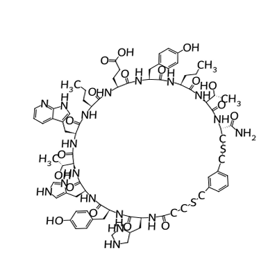 CCC[C@@H]1NC(=O)[C@H](Cc2c[nH]c3ncccc23)NC(=O)[C@H]([C@@H](C)O)NC(=O)[C@H](Cc2c[nH]cn2)NC(=O)[C@H](Cc2ccc(O)cc2)NC(=O)[C@H](CC2CNCN2)NC(=O)CCSCc2cccc(c2)CSC[C@@H](C(N)=O)NC(=O)[C@H]([C@@H](C)O)NC(=O)[C@H](CCC)NC(=O)[C@H](Cc2ccc(O)cc2)NC(=O)[C@H](CCC(=O)O)NC1=O